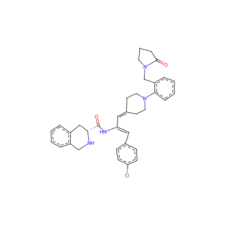 O=C(N/C(C=C1CCN(c2ccccc2CN2CCCC2=O)CC1)=C\c1ccc(Cl)cc1)[C@H]1Cc2ccccc2CN1